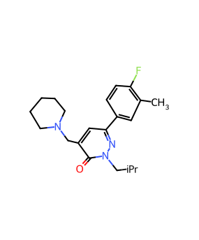 Cc1cc(-c2cc(CN3CCCCC3)c(=O)n(CC(C)C)n2)ccc1F